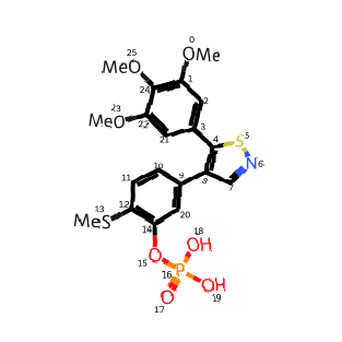 COc1cc(-c2sncc2-c2ccc(SC)c(OP(=O)(O)O)c2)cc(OC)c1OC